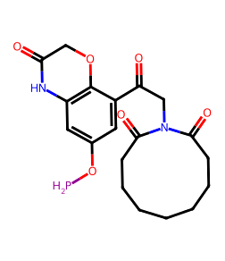 O=C1COc2c(cc(OP)cc2C(=O)CN2C(=O)CCCCCCCC2=O)N1